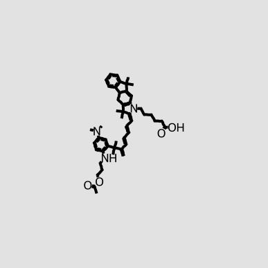 C=C(/C=C/C=C/C=C1/N(CCCCCC(=O)O)C2=C(CC3C(=C2)C(C)(C)c2ccccc23)C1(C)C)C(C)(C)c1cc(N(C)C)ccc1NCCCOC(C)=O